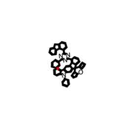 c1ccc(-c2nc(-c3cccc4c3-c3ccccc3C4)nc(-c3cccc4c3-c3cc5c6ccccc6n(-c6ccccc6)c5cc3C43c4ccccc4Oc4ccccc43)n2)cc1